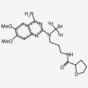 [2H]C([2H])([2H])N(CCCNC(=O)C1CCCO1)c1nc(N)c2cc(OC)c(OC)cc2n1